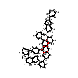 c1ccc(-c2cccc(N(c3ccc(-c4cccc5oc6ccc7ccccc7c6c45)cc3)c3cccc(-c4ccccc4N(c4cccc(-c5ccccc5)c4)c4ccc5cc(-c6ccccc6)ccc5c4)c3)c2)cc1